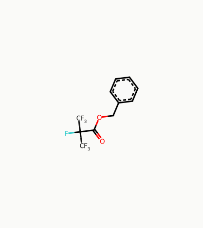 O=C(OCc1ccccc1)C(F)(C(F)(F)F)C(F)(F)F